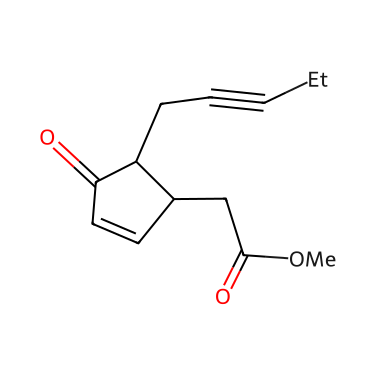 CCC#CCC1C(=O)C=CC1CC(=O)OC